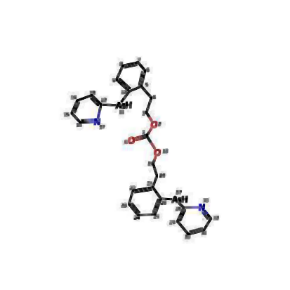 O=C(OCCc1ccccc1[AsH]c1ccccn1)OCCc1ccccc1[AsH]c1ccccn1